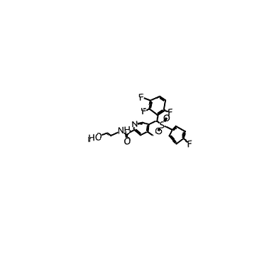 Cc1cc(C(=O)NCCO)ncc1C(c1c(F)ccc(F)c1F)S(=O)(=O)c1ccc(F)cc1